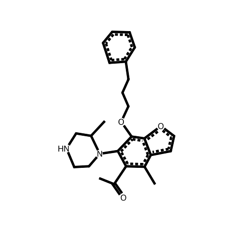 CC(=O)c1c(N2CCNCC2C)c(OCCCc2ccccc2)c2occc2c1C